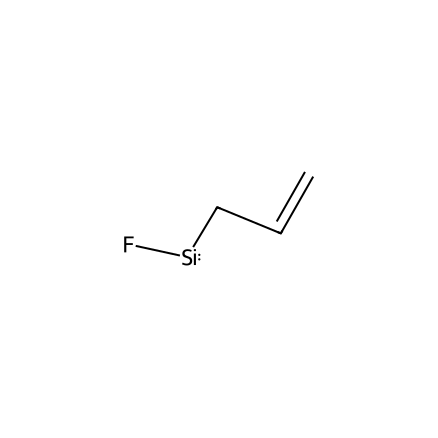 C=CC[Si]F